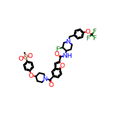 CS(=O)(=O)c1ccc(OC2CCN(C(=O)c3ccc4oc(C(=O)NC5CCN(Cc6ccc(OC(F)(F)F)cc6)CC5F)cc4c3)CC2)cc1